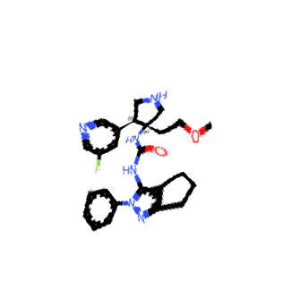 COCC[C@]1(NC(=O)Nc2c3c(nn2-c2ccccc2)CCC3)CNC[C@@H]1c1cncc(F)c1